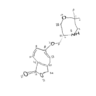 CC1(C)CN[C@H](COc2ccc3c(c2)COC3=O)CO1